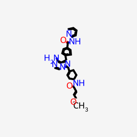 COC/C=C/C(=O)NC1CC=C(c2nc(-c3ccc(C(=O)Nc4ccccn4)cc3)c3c(N)nccn23)CC1